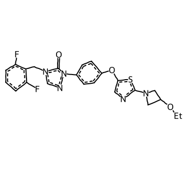 CCOC1CN(c2ncc(Oc3ccc(-n4ncn(Cc5c(F)cccc5F)c4=O)cc3)s2)C1